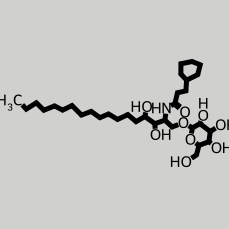 CCCCCCCCCCCCCCC(O)C(O)C(COC1OC(CO)C(O)C(O)C1O)NC(=O)CCC1CCCCC1